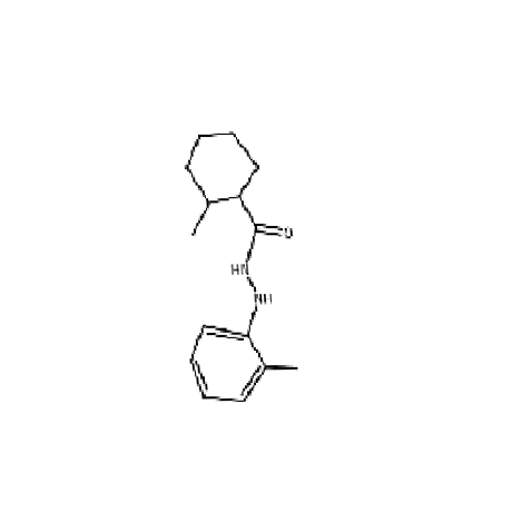 Cc1ccccc1NNC(=O)C1CCCCC1C